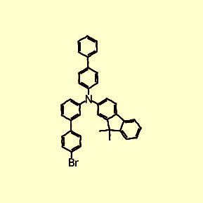 CC1(C)c2ccccc2-c2ccc(N(c3ccc(-c4ccccc4)cc3)c3cccc(-c4ccc(Br)cc4)c3)cc21